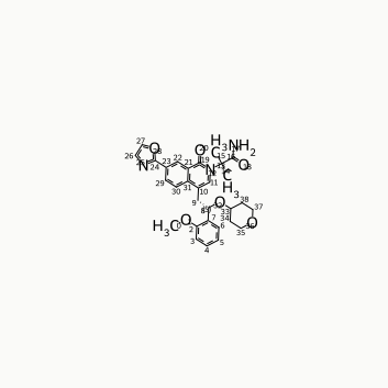 COc1ccccc1[C@H](Cc1cn(C(C)(C)C(N)=O)c(=O)c2cc(-c3ncco3)ccc12)OC1CCOCC1